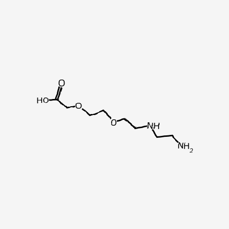 NCCNCCOCCOCC(=O)O